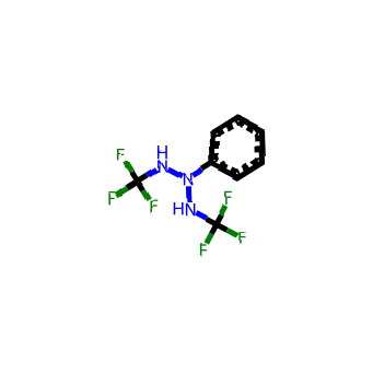 FC(F)(F)NN(NC(F)(F)F)c1ccccc1